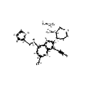 CC#Cc1c([C@H]2CCOC[C@@H]2N)sc2c(NCc3cccs3)cc(Cl)nc12.O=CO